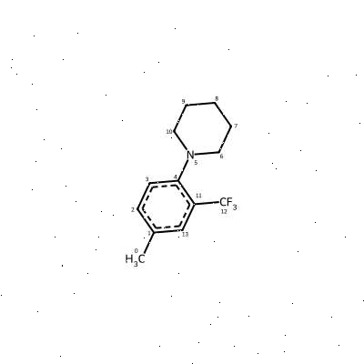 Cc1ccc(N2CCCCC2)c(C(F)(F)F)c1